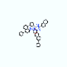 c1ccc(-c2ccc3cc(-c4nc(-c5ccc6ccccc6c5)nc(-c5cccc6c5N(c5ccccc5)c5ccc(-c7ccccc7)c7cccc-6c57)n4)ccc3c2)cc1